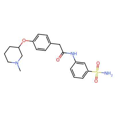 CN1CCCC(Oc2ccc(CC(=O)Nc3cccc(S(N)(=O)=O)c3)cc2)C1